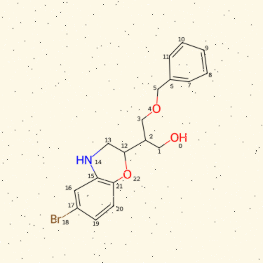 OCC(COCc1ccccc1)C1CNc2cc(Br)ccc2O1